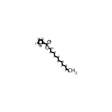 C=CCCCCCCCCCOC(=O)c1cccs1